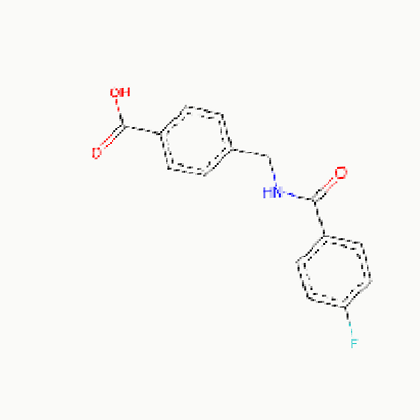 O=C(O)c1ccc(CNC(=O)c2ccc(F)cc2)cc1